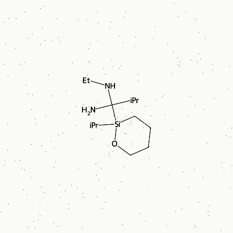 CCNC(N)(C(C)C)[Si]1(C(C)C)CCCCO1